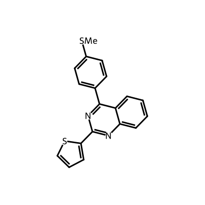 CSc1ccc(-c2nc(-c3cccs3)nc3ccccc23)cc1